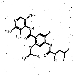 CCN(CC(F)F)C(=O)Nc1cc(OC(C)C(F)(F)F)c(C(=O)Nc2c(C)cnc(OC)c2C)cc1F